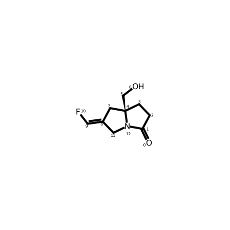 O=C1CC[C@@]2(CO)C/C(=C\F)CN12